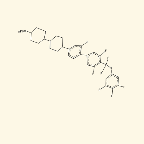 CCCCCC1CCC(C2CCC(c3ccc(-c4cc(F)c(C(F)(F)Oc5cc(F)c(F)c(F)c5)c(F)c4)c(F)c3)CC2)CC1